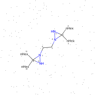 CCCCCCC1(CCCCCC)NN1CCN1NC1(CCCCCC)CCCCCC